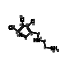 NCCNCc1cnc(Cl)c(Cl)c1Cl